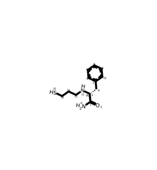 NC(=O)[C@@H](Cc1ccccc1)NCCCS